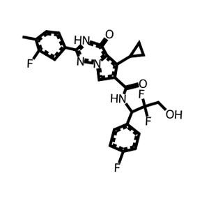 Cc1ccc(-c2nn3cc(C(=O)NC(c4ccc(F)cc4)C(F)(F)CO)c(C4CC4)c3c(=O)[nH]2)cc1F